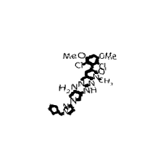 COc1cc(OC)c(Cl)c(-c2cc3cnc(NC4CN(c5ccn(CC6CCCC6)n5)CC4N)nc3n(C)c2=O)c1Cl